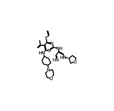 C=CSc1nc(N/C(C=N)=C/N[C@H]2CCOC2)nc(NC2CCC(N3CCOCC3)CC2)c1C(=C)C